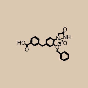 O=C1CN(c2ccc(Cc3cccc(C(=O)O)c3)cc2OCc2ccccc2)S(=O)(=O)N1